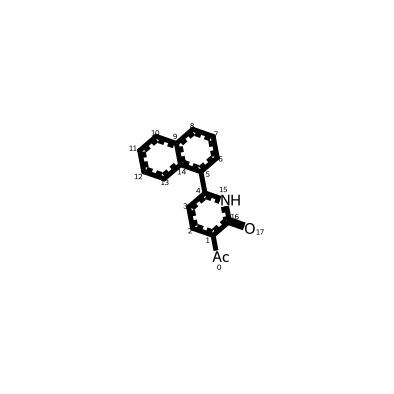 CC(=O)c1ccc(-c2cccc3ccccc23)[nH]c1=O